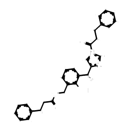 Cc1c(COC(=O)CCc2ccccc2)cccc1[C@H](C)c1cn(C(=O)CCc2ccccc2)cn1